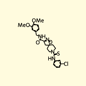 COc1ccc(CNC(=O)C2=NOC3(CCN(C(=S)Nc4cccc(Cl)c4)CC3)C2)cc1OC